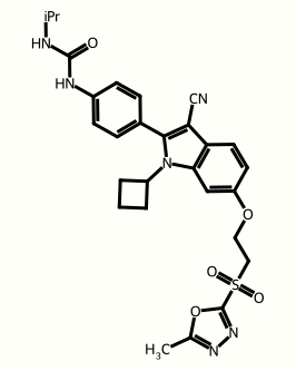 Cc1nnc(S(=O)(=O)CCOc2ccc3c(C#N)c(-c4ccc(NC(=O)NC(C)C)cc4)n(C4CCC4)c3c2)o1